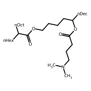 CCCCCCCCCCC(CCCCOC(=O)C(CCCCCC)CCCCCCCC)OC(=O)CCCN(C)C